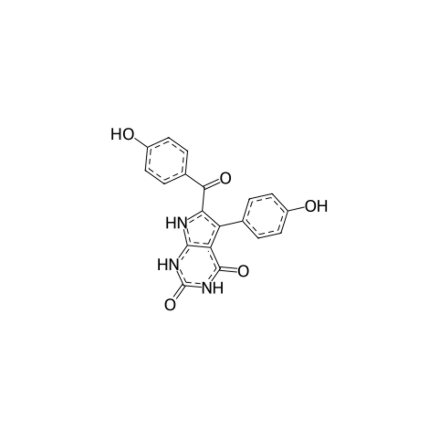 O=C(c1ccc(O)cc1)c1[nH]c2[nH]c(=O)[nH]c(=O)c2c1-c1ccc(O)cc1